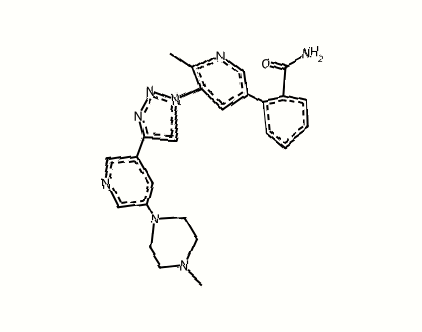 Cc1ncc(-c2ccccc2C(N)=O)cc1-n1cc(-c2cncc(N3CCN(C)CC3)c2)nn1